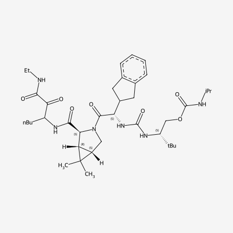 CCCCC(NC(=O)[C@@H]1[C@@H]2[C@H](CN1C(=O)[C@@H](NC(=O)N[C@H](COC(=O)NC(C)C)C(C)(C)C)C1Cc3ccccc3C1)C2(C)C)C(=O)C(=O)NCC